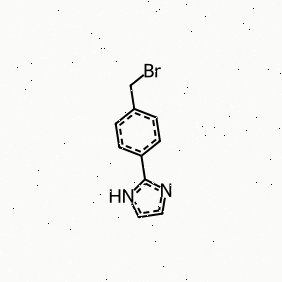 BrCc1ccc(-c2ncc[nH]2)cc1